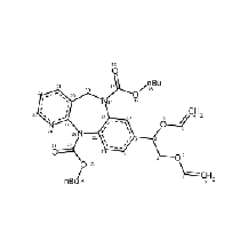 C=COCC(OC=C)c1ccc2c(c1)N(C(=O)OCCCC)Cc1cccnc1N2C(=O)OCCCC